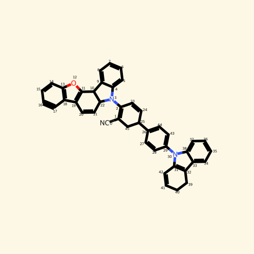 N#CC1=C(N2c3ccccc3C3c4oc5ccc#cc5c4C=CC32)C=CC(c2ccc(-n3c4c(c5ccccc53)CCC=C4)cc2)C1